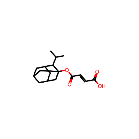 CC(C)C1C2CC3CC(C2)CC1(OC(=O)C=CC(=O)O)C3